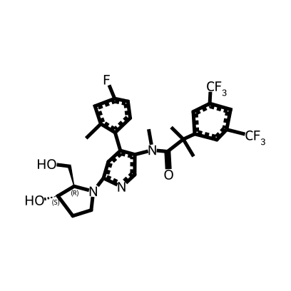 Cc1cc(F)ccc1-c1cc(N2CC[C@H](O)[C@H]2CO)ncc1N(C)C(=O)C(C)(C)c1cc(C(F)(F)F)cc(C(F)(F)F)c1